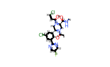 CNC(=O)[C@H]1CN(C(C)=O)[C@H](c2cc(Cl)cc(-c3ncc(F)cn3)c2)CN1C(=O)/C=C\Cl